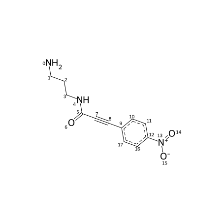 NCCCNC(=O)C#Cc1ccc([N+](=O)[O-])cc1